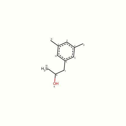 Cc1cc(C)cc(CC(O)[SiH3])c1